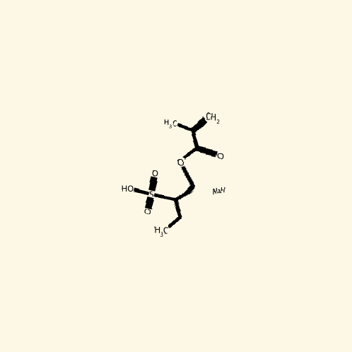 C=C(C)C(=O)OCC(CC)S(=O)(=O)O.[NaH]